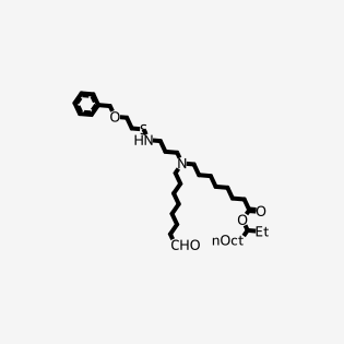 CCCCCCCCC(CC)OC(=O)CCCCCCCN(CCCCCCCC=O)CCCNSCCOCc1ccccc1